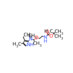 CCc1c(C)c[nH]c1N(C)C(C)OCCNC(=O)OC(C)(C)C